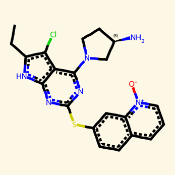 CCc1[nH]c2nc(Sc3ccc4ccc[n+]([O-])c4c3)nc(N3CC[C@@H](N)C3)c2c1Cl